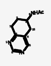 CC(=O)NC1CCc2ncncc2C1